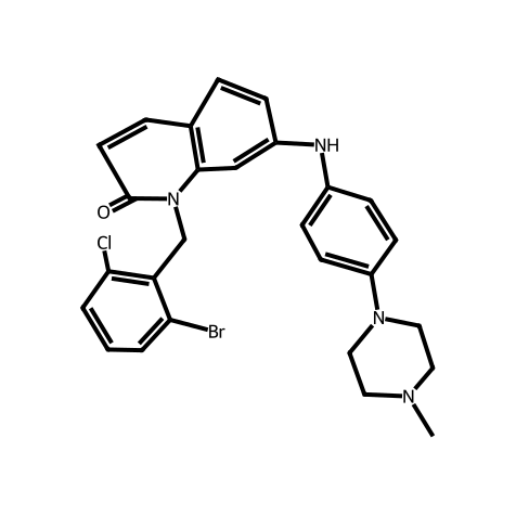 CN1CCN(c2ccc(Nc3ccc4ccc(=O)n(Cc5c(Cl)cccc5Br)c4c3)cc2)CC1